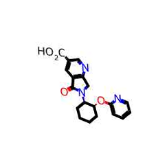 O=C(O)c1cnc2c(c1)C(=O)N([C@@H]1CCCC[C@H]1Oc1ccccn1)C2